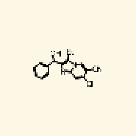 CCc1c(C(O)c2ccccc2)nc2cc(Cl)c(C#N)cn12